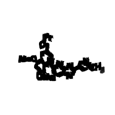 COc1cc(OC)c(F)c(N(CCCOC(C)C)c2ccc3ncc(-c4cnn(C)c4)nc3n2)c1